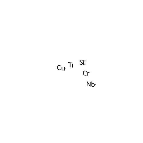 [Cr].[Cu].[Nb].[Si].[Ti]